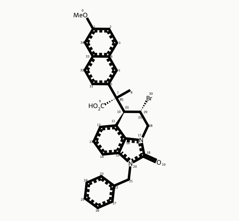 COc1ccc2cc([C@](C)(C(=O)O)[C@@H]3c4cccc5c4n(c(=O)n5Cc4ccccc4)C[C@H]3Br)ccc2c1